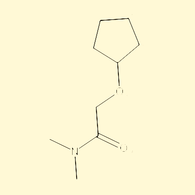 CN(C)C(=O)COC1CCCC1